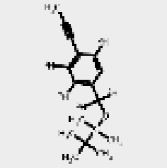 [2H]c1cc(C([2H])([2H])O[Si](C)(C)C(C)(C)C)c([2H])c([2H])c1C#CC